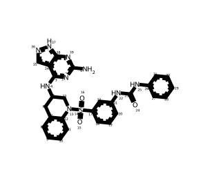 Nc1nc(NC2Cc3ccccc3N(S(=O)(=O)c3cccc(NC(=O)Nc4ccccc4)c3)C2)c2cn[nH]c2n1